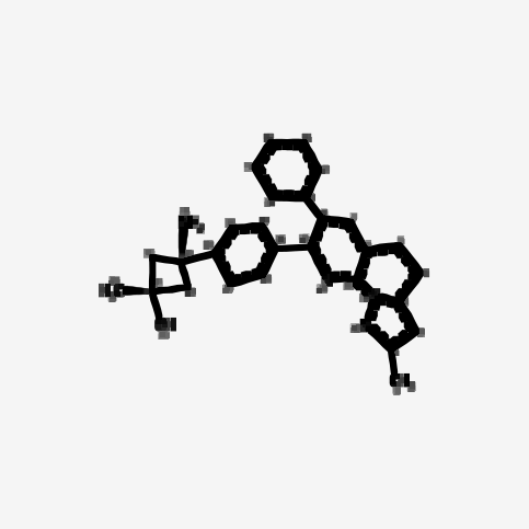 Cc1cc2ccc3cc(-c4ccccc4)c(-c4ccc([C@]5(N)C[C@](C)(O)C5)cc4)nc3n2n1